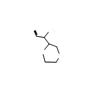 C=CC(C#N)[C]1COCCO1